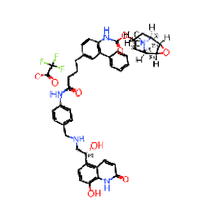 C[N+]1(C)[C@@H]2C[C@@H](OC(=O)Nc3ccc(CCCC(=O)Nc4ccc(CNC[C@H](O)c5ccc(O)c6[nH]c(=O)ccc56)cc4)cc3-c3ccccc3)C[C@H]1[C@@H]1O[C@@H]12.O=C([O-])C(F)(F)F